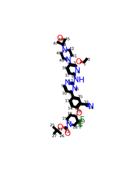 CCOc1nc(Nc2nccc(-c3ccc(OC4CCN(C(=O)OC(C)(C)C)CC4(F)F)c(C#N)c3)n2)ccc1N1CCN(C2COC2)CC1